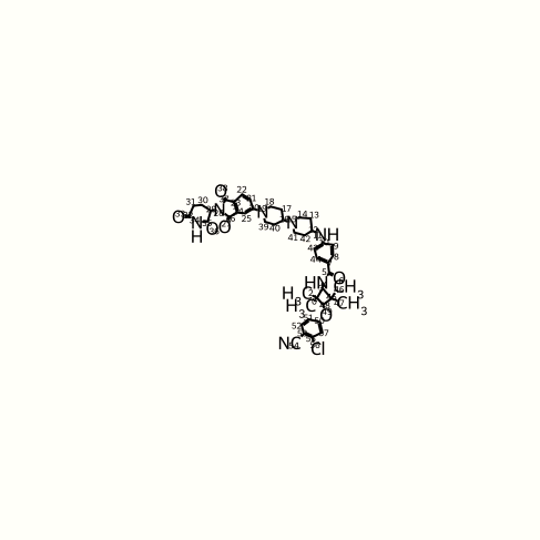 CC1(C)C(NC(=O)c2ccc(NC3CCN(C4CCN(c5ccc6c(c5)C(=O)N(C5CCC(=O)NC5=O)C6=O)CC4)CC3)cc2)C(C)(C)C1Oc1ccc(C#N)c(Cl)c1